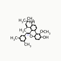 COc1c(O)ccc2c1-c1ccc3c(c1/C(=C/c1cc(C)cc(C)c1)O2)C(C)=CC(C)(C)N3